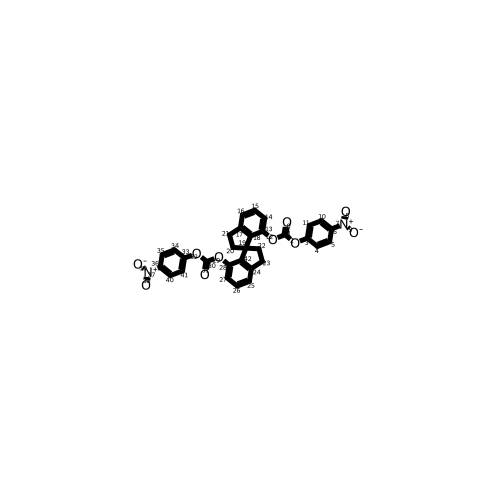 O=C(Oc1ccc([N+](=O)[O-])cc1)Oc1cccc2c1C1(CC2)CCc2cccc(OC(=O)Oc3ccc([N+](=O)[O-])cc3)c21